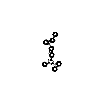 c1ccc(-c2ccc3c(c2)c2ccccc2n3-c2ccc3c(c2)oc2cc(-c4nc(-c5ccccc5)nc(-n5c6ccccc6c6ccccc65)n4)ccc23)cc1